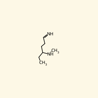 CCC(CCC=N)NC